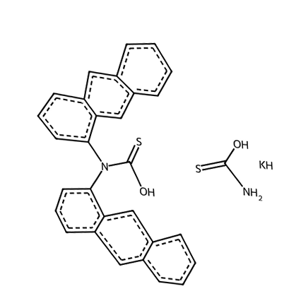 NC(O)=S.OC(=S)N(c1cccc2cc3ccccc3cc12)c1cccc2cc3ccccc3cc12.[KH]